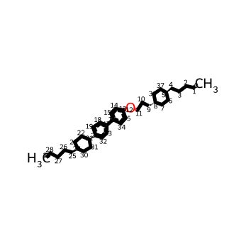 CCCCC[C@H]1CC[C@H](CCCOc2ccc(-c3ccc([C@H]4CC[C@H](CCCCC)CC4)cc3)cc2)CC1